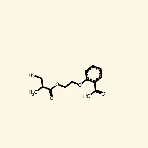 CC(CS)C(=O)OCCOc1ccccc1C(=O)O